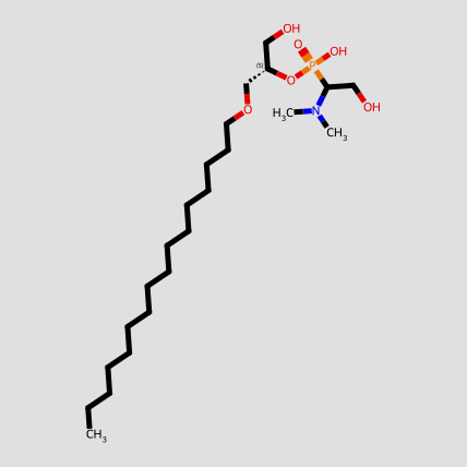 CCCCCCCCCCCCCCCCOC[C@H](CO)OP(=O)(O)C(CO)N(C)C